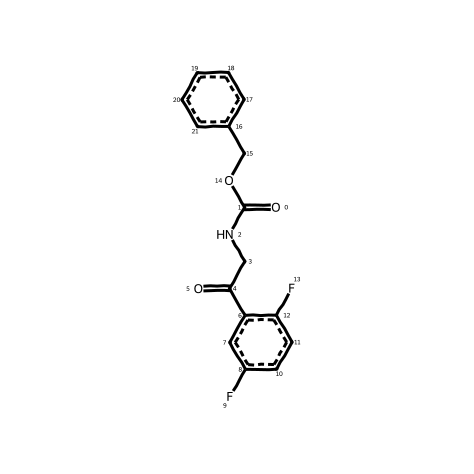 O=C(NCC(=O)c1cc(F)ccc1F)OCc1ccccc1